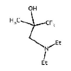 CCN(CC)CC(C)(O)C(F)(F)F